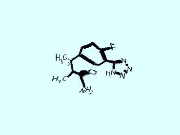 CC(C(N)=O)[C@H](C)c1ccc(F)c(-c2nnn[nH]2)c1